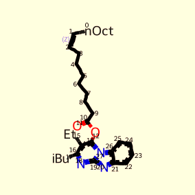 CCCCCCCC/C=C\CCCCCCCC(=O)Oc1c(CC)c(C(C)CC)nc2nc3ccccc3n12